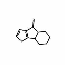 O=C1c2ccsc2C2CCCCN12